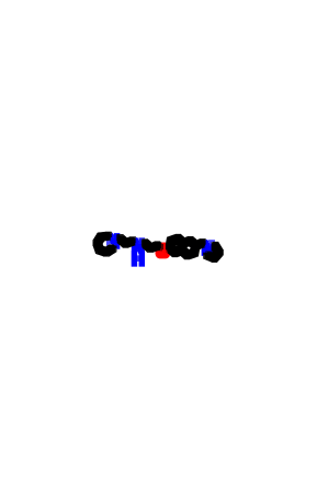 c1cc2c(cc1OCCCNCCCN1CCCCCC1)CCC(CN1CCCC1)C2